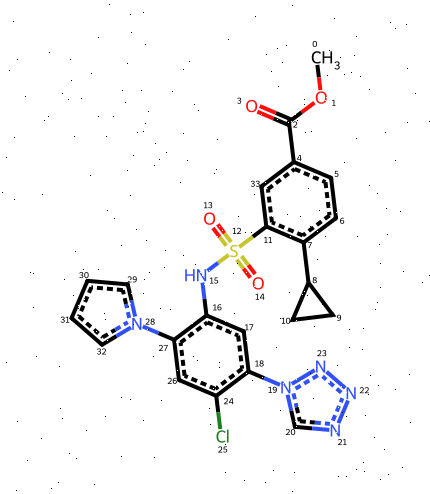 COC(=O)c1ccc(C2CC2)c(S(=O)(=O)Nc2cc(-n3cnnn3)c(Cl)cc2-n2cccc2)c1